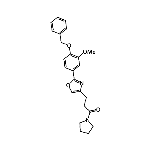 COc1cc(-c2nc(CCC(=O)N3CCCC3)co2)ccc1OCc1ccccc1